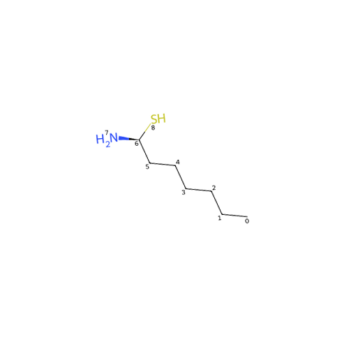 CCCCCC[C@@H](N)S